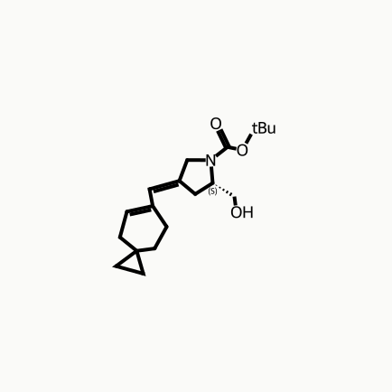 CC(C)(C)OC(=O)N1CC(=CC2=CCC3(CC2)CC3)C[C@H]1CO